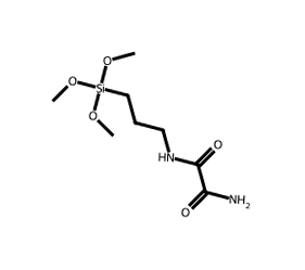 CO[Si](CCCNC(=O)C(N)=O)(OC)OC